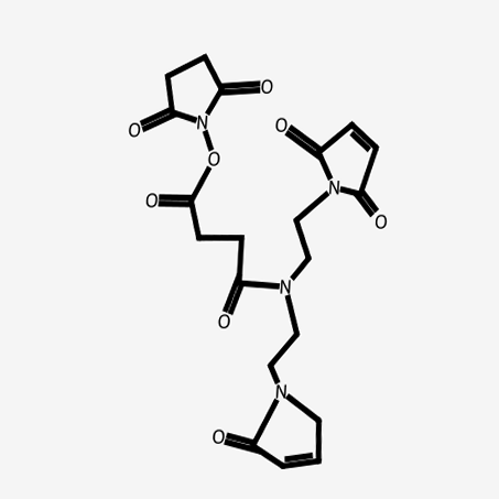 O=C(CCC(=O)N(CCN1CC=CC1=O)CCN1C(=O)C=CC1=O)ON1C(=O)CCC1=O